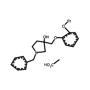 CC(=O)O.CCOc1ccccc1OCC1(O)CCN(Cc2ccccc2)C1